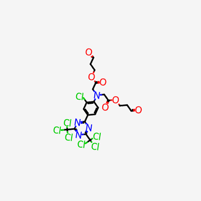 O=CCCOC(=O)CN(CC(=O)OCCC=O)c1ccc(-c2nc(C(Cl)(Cl)Cl)nc(C(Cl)(Cl)Cl)n2)cc1Cl